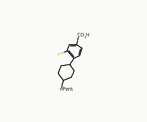 CCCCCC1CCC(c2ccc(C(=O)O)cc2F)CC1